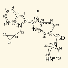 Cn1c(-c2cc3cccnc3n2CC2CC2)nc2cc(C(=O)N3CC4CC3CN4)ccc21